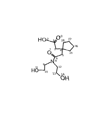 O=C(O)CC1(CC(=O)N(CCO)CCO)CCCC1